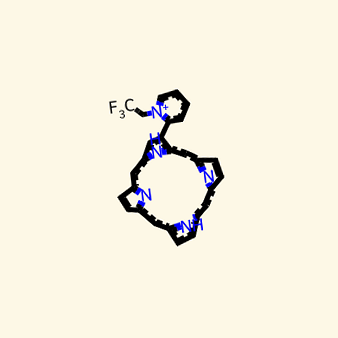 FC(F)(F)C[n+]1ccccc1-c1cc2cc3nc(cc4ccc(cc5nc(cc1[nH]2)C=C5)[nH]4)C=C3